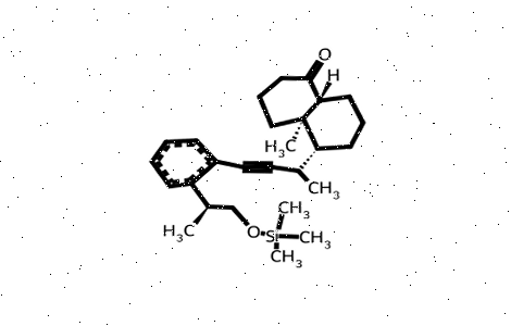 CC(C#Cc1ccccc1[C@H](C)CO[Si](C)(C)C)[C@H]1CCC[C@H]2C(=O)CCC[C@]12C